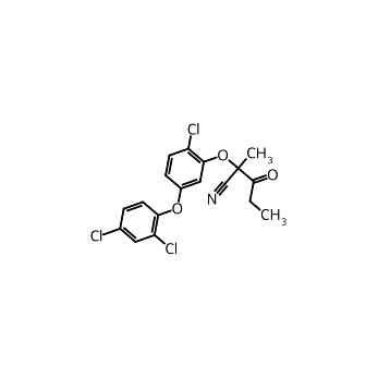 CCC(=O)C(C)(C#N)Oc1cc(Oc2ccc(Cl)cc2Cl)ccc1Cl